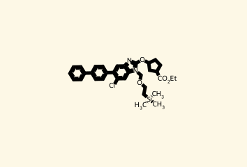 CCOC(=O)C1CCC(Oc2nc3cc(-c4ccc(-c5ccccc5)cc4)c(Cl)cc3n2COCC[Si](C)(C)C)C1